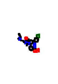 C#CCN(C)CCCN1C(=C)N2[C@H](c3cccc(O)c3)c3[nH]c4ccc(Cl)cc4c3C[C@@]2(C)C1=O